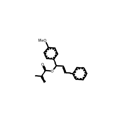 C=C(C)C(=O)OC(/C=C/c1ccccc1)c1ccc(OC)cc1